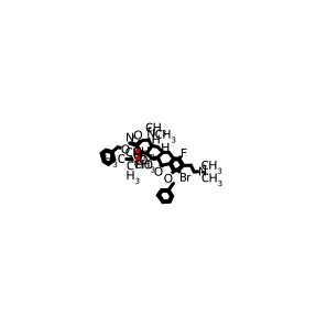 CN(C)CCc1c(F)c2c(c(OCc3ccccc3)c1Br)C(=O)C1=C(O)[C@]3(O[Si](C)(C)C(C)(C)C)C(=O)c4c(OCc5ccccc5)noc4[C@@H](N(C)C)[C@@H]3C[C@@H]1C2